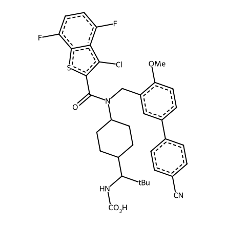 COc1ccc(-c2ccc(C#N)cc2)cc1CN(C(=O)c1sc2c(F)ccc(F)c2c1Cl)C1CCC(C(NC(=O)O)C(C)(C)C)CC1